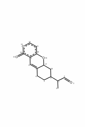 CC(C=O)C1CCC2=Cc3c(ccoc3=O)OC2C1